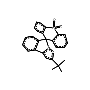 CC(C)(C)c1cc2n(n1)C1(c3ccccc3-2)c2ccccc2S(=O)(=O)c2ccccc21